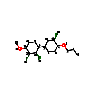 CCCOC1CCC(C2CCC(OC)C(F)C2F)CC1F